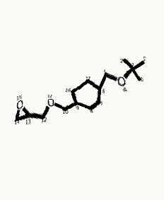 CC(C)(C)OCC1CCC(COCC2CO2)CC1